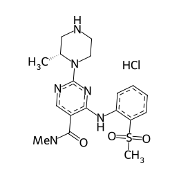 CNC(=O)c1cnc(N2CCNC[C@H]2C)nc1Nc1ccccc1S(C)(=O)=O.Cl